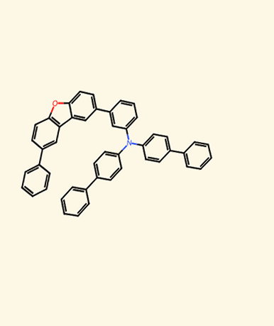 c1ccc(-c2ccc(N(c3ccc(-c4ccccc4)cc3)c3cccc(-c4ccc5oc6ccc(-c7ccccc7)cc6c5c4)c3)cc2)cc1